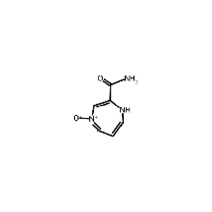 NC(=O)C1=C[N+]([O-])=[C]C=CN1